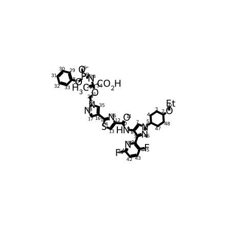 CCOC1CCC(n2cc(NC(=O)c3csc(-c4cnn(CO[C@@](C)(N=[P+]([O-])Oc5ccccc5)C(=O)O)c4)n3)c(-c3nc(F)ccc3F)n2)CC1